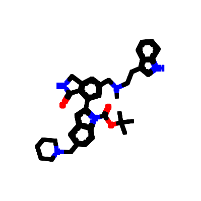 CN(CCc1c[nH]c2ccccc12)Cc1cc2c(c(-c3cc4cc(CN5CCCCC5)ccc4n3C(=O)OC(C)(C)C)c1)C(=O)NC2